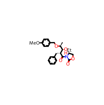 CC[C@@H]1COC(=O)N1C(=O)[C@H](Cc1ccccc1)[C@@H](O)[C@H](C)OCc1ccc(OC)cc1